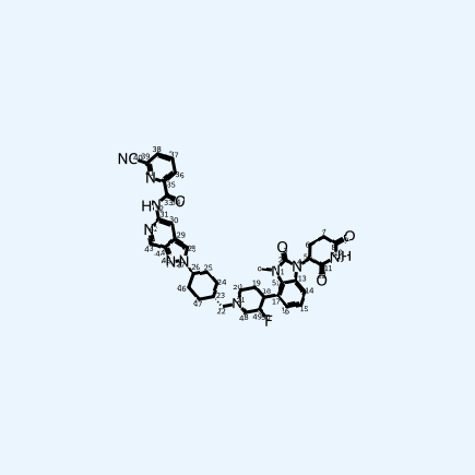 Cn1c(=O)n(C2CCC(=O)NC2=O)c2cccc(C3CCN(C[C@H]4CC[C@H](n5cc6cc(NC(=O)c7cccc(C#N)n7)ncc6n5)CC4)CC3F)c21